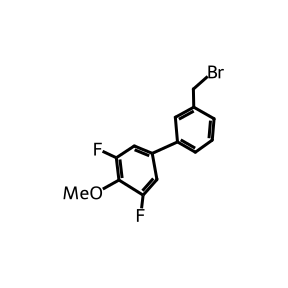 COc1c(F)cc(-c2cccc(CBr)c2)cc1F